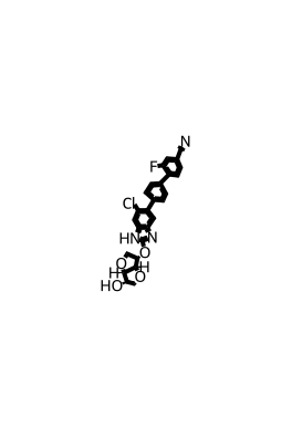 N#Cc1ccc(-c2ccc(-c3cc4nc(O[C@@H]5CO[C@H]6[C@@H]5OC[C@H]6O)[nH]c4cc3Cl)cc2)c(F)c1